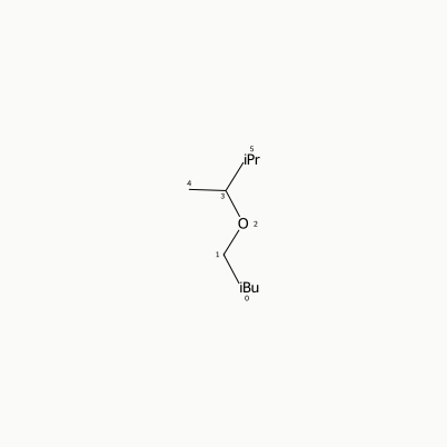 CCC(C)COC(C)C(C)C